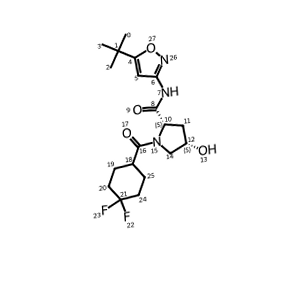 CC(C)(C)c1cc(NC(=O)[C@@H]2C[C@H](O)CN2C(=O)C2CCC(F)(F)CC2)no1